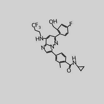 Cc1cc(-c2cnc3c(NCCC(F)(F)F)cc(-c4ccc(F)cc4CO)nn23)ccc1C(=O)NC1CC1